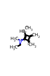 C=C1C(=C)C(N(C)CC)=C1BC